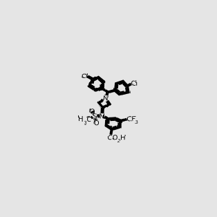 CS(=O)(=O)N(c1cc(C(=O)O)cc(C(F)(F)F)c1)C1CN(C(c2ccc(Cl)cc2)c2ccc(Cl)cc2)C1